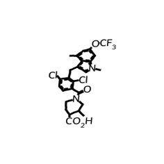 Cc1cc(OC(F)(F)F)cc2c1c(Cc1c(Cl)ccc(C(=O)N3CCC(C(=O)O)C(C)C3)c1Cl)cn2C